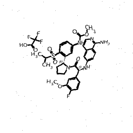 COC(=O)Nc1ccc(S(=O)(=O)C(C)C)c([C@H]2CCCN2C(=O)[C@@H](Nc2ccc3c(N)nccc3c2)c2ccc(F)c(OC)c2)c1.O=C(O)C(F)(F)F